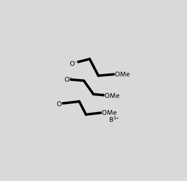 COCC[O-].COCC[O-].COCC[O-].[B+3]